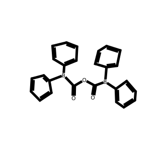 O=C(OC(=O)B(c1ccccc1)c1ccccc1)B(c1ccccc1)c1ccccc1